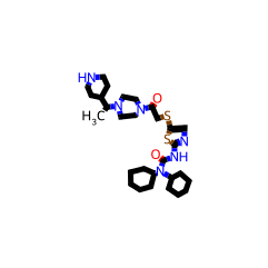 CC(C1CCNCC1)N1CCN(C(=O)CSc2cnc(NC(=O)N(C3CCCCC3)C3CCCCC3)s2)CC1